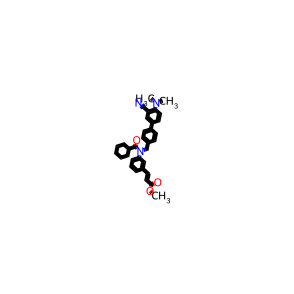 COC(=O)/C=C/c1cccc(N(Cc2ccc(-c3ccc(N(C)C)c(C#N)c3)cc2)C(=O)C2CCCCC2)c1